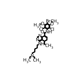 CCC1CC=C(C(=O)Nc2c(Cl)c(OC)c(Br)c(OC)c2Cl)c2ncnc(NCCCCCN(CC)CC)c21